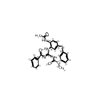 COC(=O)N/C(=N/C(=O)c1ccccc1)Nc1cc(Sc2ccccc2)ccc1NC(C)=O